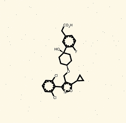 O=C(O)Cc1ccc(F)c([C@]2(O)CC[C@@H](OCc3c(-c4c(Cl)cccc4Cl)noc3C3CC3)CC2)c1